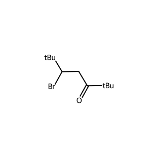 CC(C)(C)C(=O)CC(Br)C(C)(C)C